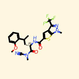 COc1ccccc1C(C)C[C@H](NC(=O)c1cc2c(C(F)(F)F)nn(C)c2s1)C(=O)N(C)C#N